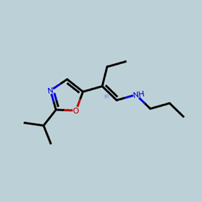 CCCN/C=C(\CC)c1cnc(C(C)C)o1